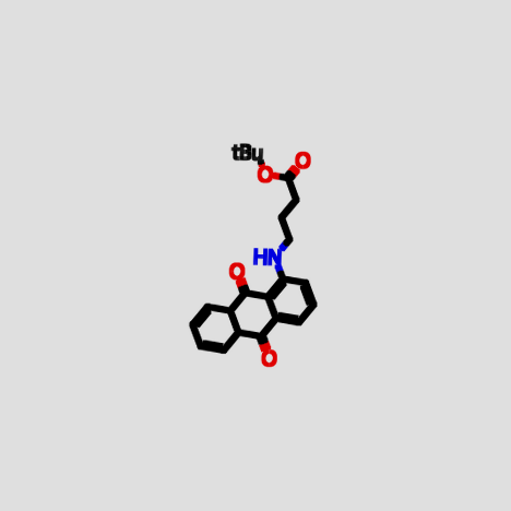 CC(C)(C)OC(=O)CCCNc1cccc2c1C(=O)C1C=CC=CC1C2=O